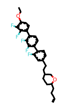 C=CCCC1CCC(CCc2ccc(-c3ccc(-c4ccc(OCC)c(F)c4F)c(F)c3F)c(F)c2)CO1